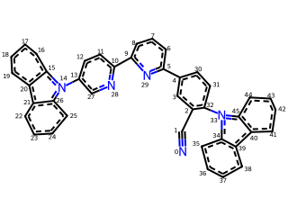 N#Cc1cc(-c2cccc(-c3ccc(-n4c5ccccc5c5ccccc54)cn3)n2)ccc1-n1c2ccccc2c2ccccc21